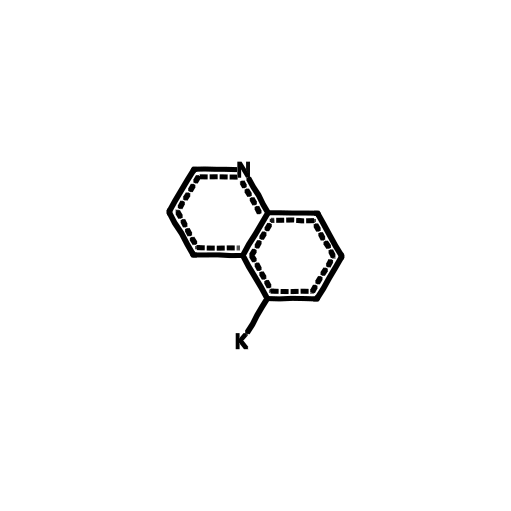 [K][c]1cccc2ncccc12